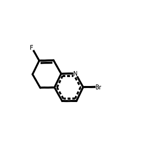 FC1=Cc2nc(Br)ccc2CC1